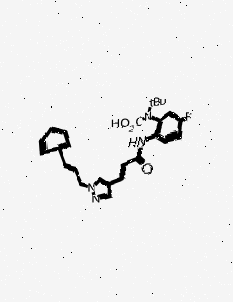 CC(C)(C)N(C(=O)O)c1cc(F)ccc1NC(=O)C=Cc1cnn(CC=Cc2ccccc2)c1